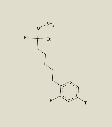 CCC(CC)(CCCCCc1ccc(F)cc1F)O[SiH3]